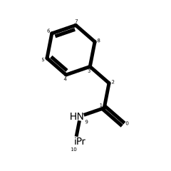 C=C(CC1C=CC=CC1)NC(C)C